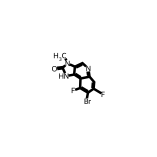 Cn1c(=O)[nH]c2c3c(F)c(Br)c(F)cc3ncc21